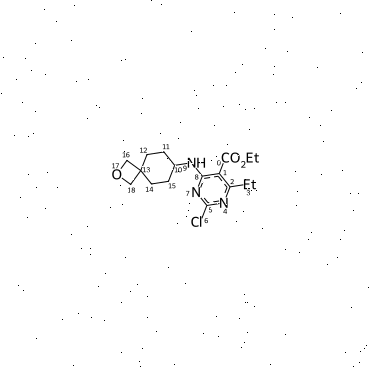 CCOC(=O)c1c(CC)nc(Cl)nc1NC1CCC2(CC1)COC2